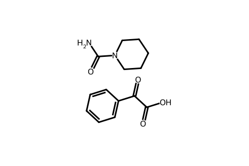 NC(=O)N1CCCCC1.O=C(O)C(=O)c1ccccc1